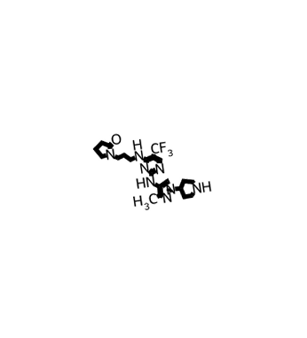 Cc1nn(C2CCNCC2)cc1Nc1ncc(C(F)(F)F)c(NCCCN2CCCC2=O)n1